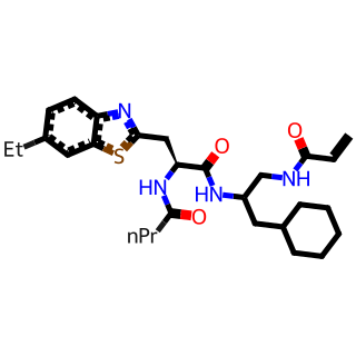 C=CC(=O)NCC(CC1CCCCC1)NC(=O)[C@H](Cc1nc2ccc(CC)cc2s1)NC(=O)CCC